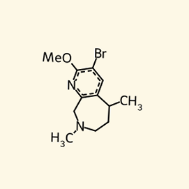 COc1nc2c(cc1Br)C(C)CCN(C)C2